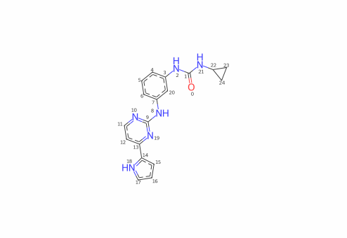 O=C(Nc1cccc(Nc2nccc(-c3ccc[nH]3)n2)c1)NC1CC1